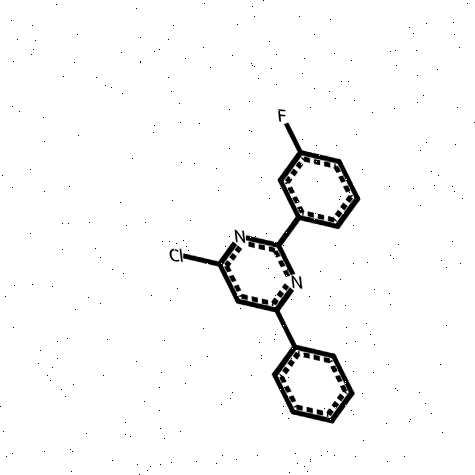 Fc1cccc(-c2nc(Cl)cc(-c3ccccc3)n2)c1